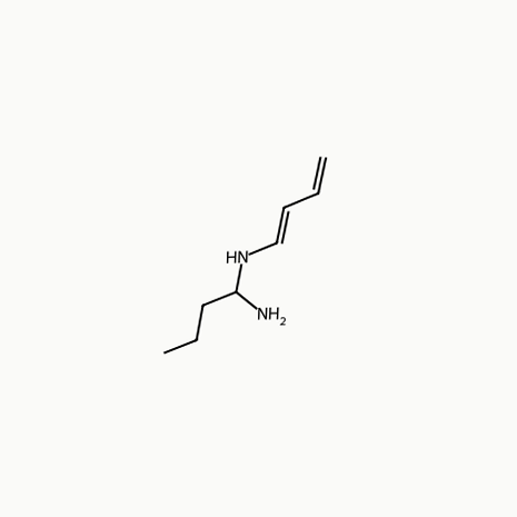 C=CC=CNC(N)CCC